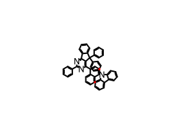 c1ccc(-c2nc3c(c(-c4cccc5ccccc45)n2)C(c2ccccc2)(c2ccc(-n4c5ccccc5c5ccccc54)cc2)c2ccccc2-3)cc1